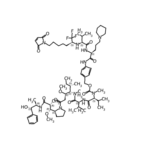 CC[C@H](C)[C@@H]([C@@H](CC(=O)N1CCC[C@H]1[C@H](OC)[C@@H](C)C(=O)N[C@H](C)[C@@H](O)c1ccccc1)OC)N(C)C(=O)[C@@H](NC(=O)[C@H](C(C)C)N(C)C(=O)OCc1ccc(NC(=O)[C@H](CCCN2CCCCC2)NC(=O)[C@@H](N[C@@H](CCCCCN2C(=O)C=CC2=O)C(F)(F)F)C(C)C)cc1)C(C)C